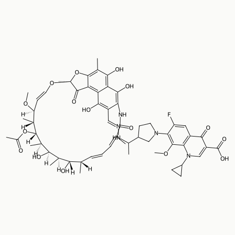 COc1c(N2CCC(C(C)N/N=C/c3c4c(O)c5c(O)c(C)c6c(c5c3O)C(=O)[C@@](C)(O/C=C/[C@H](OC)[C@@H](C)[C@@H](OC(C)=O)[C@H](C)[C@H](O)[C@H](C)[C@@H](O)[C@@H](C)/C=C/C=C(/C)C(=O)N4)O6)C2)c(F)cc2c(=O)c(C(=O)O)cn(C3CC3)c12